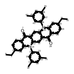 CCc1ccc2c(=O)c3cc4c(cc3n(-c3cc(C)cc(C)c3)c2c1)c(=O)c1ccc(CC)cc1n4-c1cc(C)cc(C)c1